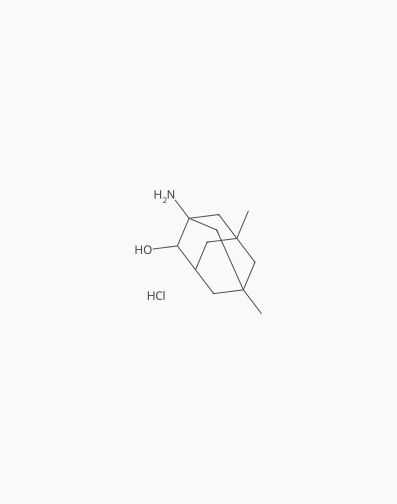 CC12CC3CC(C)(C1)CC(N)(C2)C3O.Cl